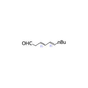 CCCC/C=C/C=C/CC=O